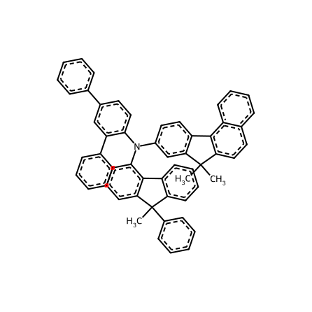 CC1(C)c2cc(N(c3ccc(-c4ccccc4)cc3-c3ccccc3)c3cccc4c3-c3ccccc3C4(C)c3ccccc3)ccc2-c2c1ccc1ccccc21